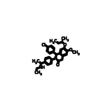 CCNC(C)c1ccc(N2C(=O)Cc3cc(OC)c(O[C@H](C)CC)cc3C2c2ccc(Cl)cc2)cc1